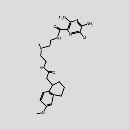 COc1ccc2c(c1)CCCC2CC(=O)NCCN(C)CCNC(=O)c1nc(Cl)c(N)nc1N